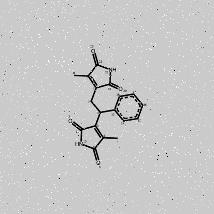 CC1=C(CC(C2=C(C)C(=O)NC2=O)c2ccccc2)C(=O)NC1=O